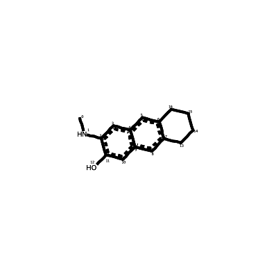 CNc1cc2cc3c(cc2cc1O)CCCC3